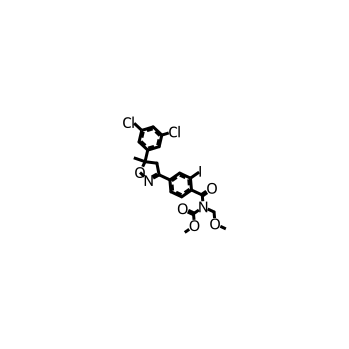 COCN(C(=O)OC)C(=O)c1ccc(C2=NOC(C)(c3cc(Cl)cc(Cl)c3)C2)cc1I